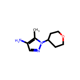 Cc1c(N)cnn1C1CCOCC1